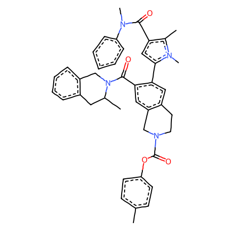 Cc1ccc(OC(=O)N2CCc3cc(-c4cc(C(=O)N(C)c5ccccc5)c(C)n4C)c(C(=O)N4Cc5ccccc5CC4C)cc3C2)cc1